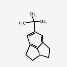 CC(C)(C)c1cc2c3c(c1)CCN3CC2